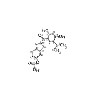 CC(C)c1cc(C(=O)N2Cc3ccc(OC(=O)O)cc3C2)c(O)cc1O